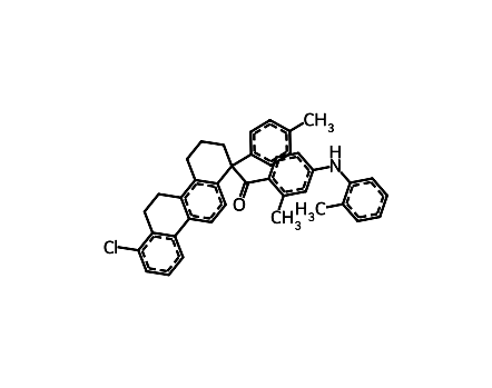 Cc1ccc(C2(C(=O)c3ccc(Nc4ccccc4C)cc3C)CCCc3c2ccc2c3CCc3c(Cl)cccc3-2)cc1